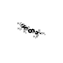 CCNC1CN(c2ccc3c(n2)CCC(NC(=O)c2sc4nc(C)nc(C)c4c2N)C3)CC1OC